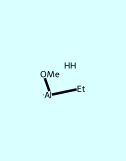 C[CH2][Al][O]C.[HH]